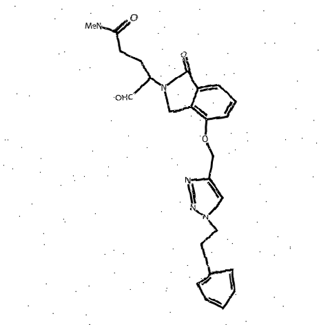 CNC(=O)CCC(C=O)N1Cc2c(OCc3cn(CCc4ccccc4)nn3)cccc2C1=O